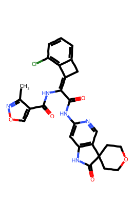 Cc1nocc1C(=O)NC(C(=O)Nc1cc2c(cn1)C1(CCOCC1)C(=O)N2)=C1Cc2cccc(Cl)c21